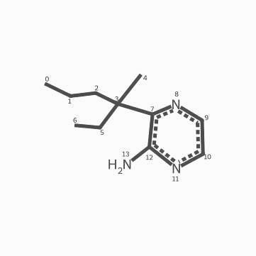 CCCC(C)(CC)c1nccnc1N